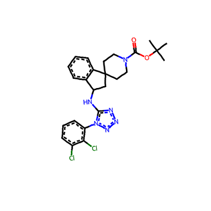 CC(C)(C)OC(=O)N1CCC2(CC1)CC(Nc1nnnn1-c1cccc(Cl)c1Cl)c1ccccc12